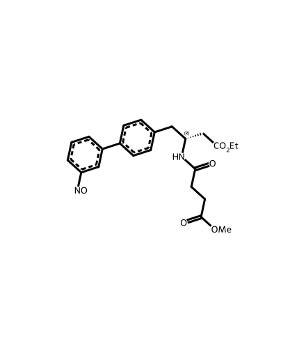 CCOC(=O)C[C@@H](Cc1ccc(-c2cccc(N=O)c2)cc1)NC(=O)CCC(=O)OC